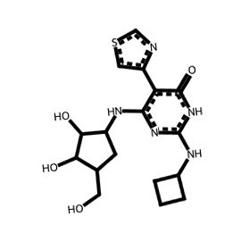 O=c1[nH]c(NC2CCC2)nc(NC2CC(CO)C(O)C2O)c1-c1cscn1